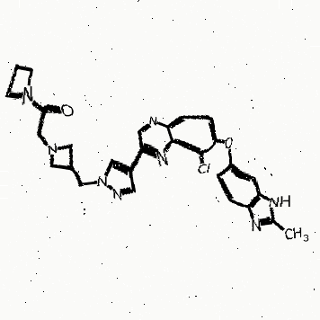 Cc1nc2ccc(Oc3ccc4ncc(-c5cnn(CC6CN(CC(=O)N7CCC7)C6)c5)nc4c3Cl)cc2[nH]1